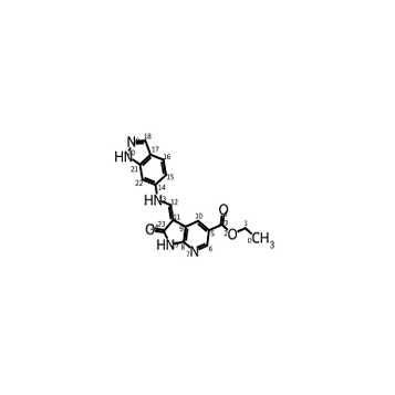 CCOC(=O)c1cnc2c(c1)C(=CNc1ccc3cn[nH]c3c1)C(=O)N2